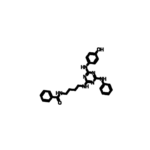 O=C(NCCCCNc1nc(Nc2ccccc2)nc(Nc2ccc(O)cc2)n1)c1ccccc1